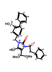 CCCCc1c(C(OC)OC)n(C(=O)Cc2ccccc2)c(=O)n1Cc1ccc(-c2ccccc2)c(C(=O)O)c1